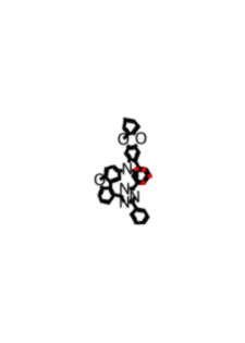 c1ccc(-c2nc(-c3ccccc3)nc(-c3cccc4oc5ccc(-n6c7ccccc7c7cc8c(cc76)Oc6ccccc6O8)cc5c34)n2)cc1